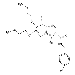 COCCOc1cc2c(O)c(C(=O)NCc3ccc(Cl)cc3)cnc2c(F)c1OCCOC